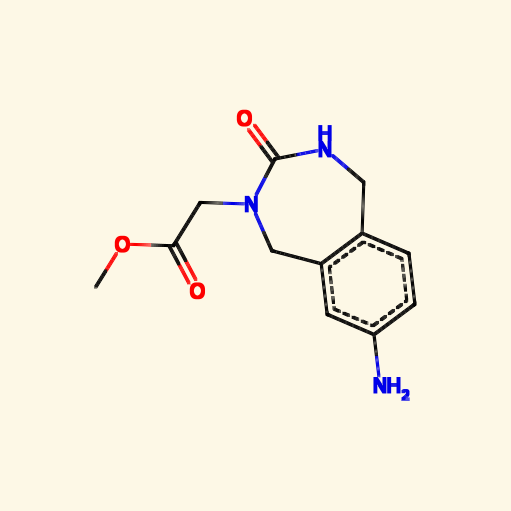 COC(=O)CN1Cc2cc(N)ccc2CNC1=O